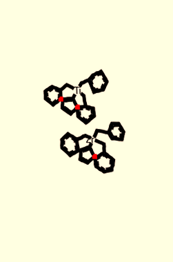 C1=CC[C]([Ti]([CH2]c2ccccc2)([CH2]c2ccccc2)[CH2]c2ccccc2)=C1.C1=CC[C]([Zr]([CH2]c2ccccc2)([CH2]c2ccccc2)[CH2]c2ccccc2)=C1